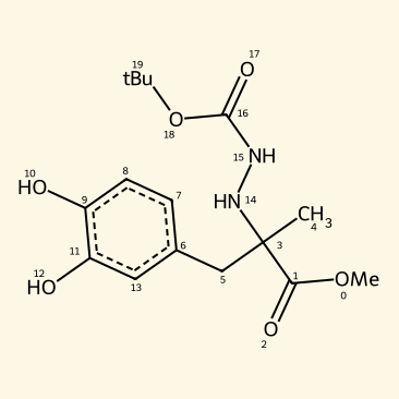 COC(=O)C(C)(Cc1ccc(O)c(O)c1)NNC(=O)OC(C)(C)C